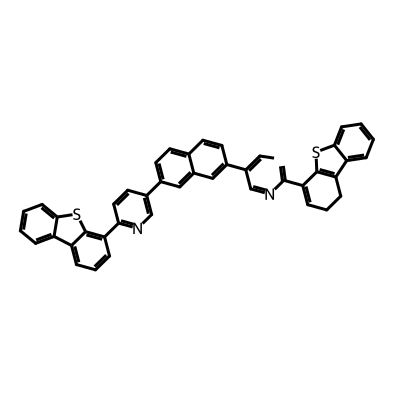 C=C(/N=C\C(=C/C)c1ccc2ccc(-c3ccc(-c4cccc5c4sc4ccccc45)nc3)cc2c1)C1=CCCc2c1sc1ccccc21